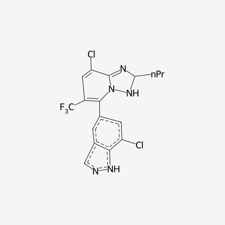 CCCC1N=C2C(Cl)=CC(C(F)(F)F)=C(c3cc(Cl)c4[nH]ncc4c3)N2N1